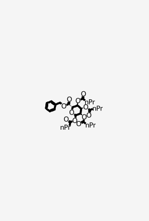 CCCC(=O)OC1O[C@H](C(=O)OCc2ccccc2)[C@@H](OC(=O)CCC)[C@H](OC(=O)CCC)[C@H]1OC(=O)CCC